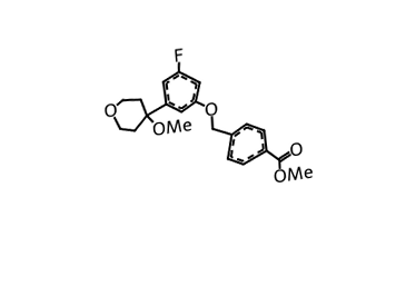 COC(=O)c1ccc(COc2cc(F)cc(C3(OC)CCOCC3)c2)cc1